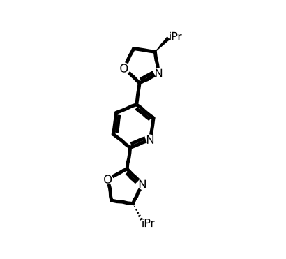 CC(C)[C@@H]1COC(c2ccc(C3=N[C@H](C(C)C)CO3)nc2)=N1